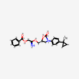 N#CC1(c2ccc(N3C[C@@H](COC(=N)COC(=O)c4ccccc4)OC3=O)cc2)CC1